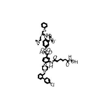 CN(C)CC[C@H](CSc1ccccc1)Nc1ccc(S(=O)(=O)NC(=O)c2ccc(N3CCN(Cc4ccccc4-c4ccc(Cl)cc4)CC3)c(NC(=O)CCCCC(=O)NO)c2)cc1[N+](=O)[O-]